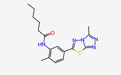 CCCCCC(=O)Nc1cc(-c2nn3c(C)nnc3s2)ccc1C